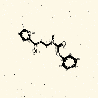 CN(CC[C@H](O)c1cccs1)C(=O)Oc1ccccc1